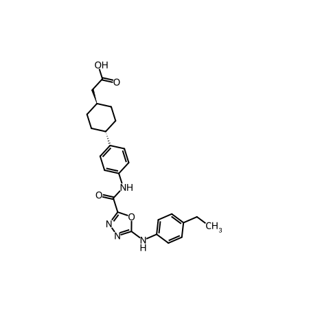 CCc1ccc(Nc2nnc(C(=O)Nc3ccc([C@H]4CC[C@H](CC(=O)O)CC4)cc3)o2)cc1